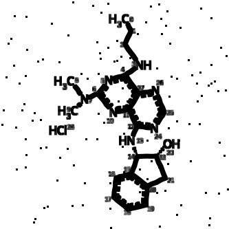 CCCNc1nc(N(C)C)nc2c(N[C@H]3c4ccccc4C[C@H]3O)ncnc12.Cl